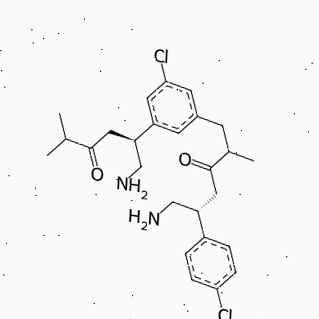 CC(C)C(=O)C[C@H](CN)c1cc(Cl)cc(CC(C)C(=O)C[C@@H](CN)c2ccc(Cl)cc2)c1